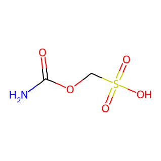 NC(=O)OCS(=O)(=O)O